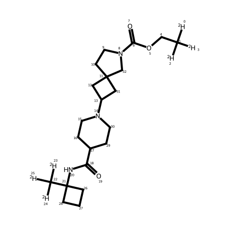 [2H]C([2H])([2H])COC(=O)N1CCC2(CC(N3CCC(C(=O)NC4(C([2H])([2H])[2H])CCC4)CC3)C2)C1